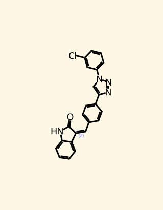 O=C1Nc2ccccc2/C1=C/c1ccc(-c2cn(-c3cccc(Cl)c3)nn2)cc1